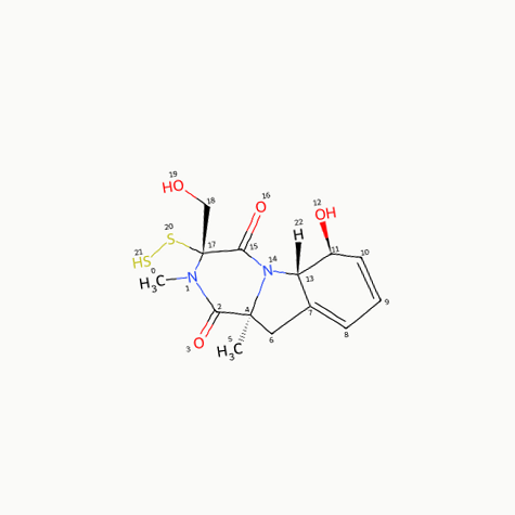 CN1C(=O)[C@]2(C)CC3=CC=C[C@H](O)[C@H]3N2C(=O)[C@@]1(CO)SS